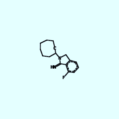 N=C1c2c(F)cccc2CN1C1CCCCCCC1